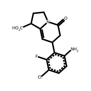 Nc1ccc(Cl)c(F)c1C1C=C2C(C(=O)O)CCN2C(=O)C1